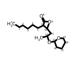 CCCCCCC1C(=O)OC1CC(C)OC1CCCCO1